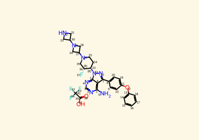 Nc1ncnc2c1c(-c1ccc(Oc3ccccc3)cc1)nn2[C@@H]1CCN(C2CN(C3CNC3)C2)C[C@H]1F.O=C(O)C(F)(F)F